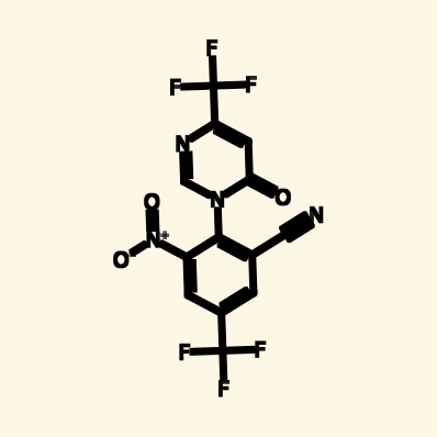 N#Cc1cc(C(F)(F)F)cc([N+](=O)[O-])c1-n1cnc(C(F)(F)F)cc1=O